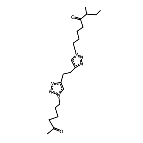 CCC(C)C(=O)CCCCn1cc(CCc2cn(CCCCC(C)=O)nn2)nn1